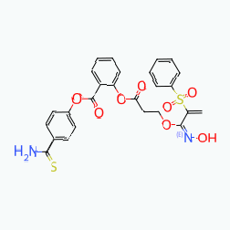 C=C(/C(=N\O)OCCC(=O)Oc1ccccc1C(=O)Oc1ccc(C(N)=S)cc1)S(=O)(=O)c1ccccc1